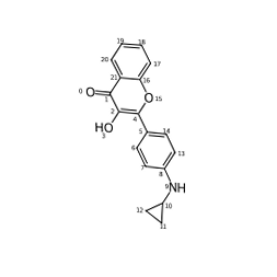 O=c1c(O)c(-c2ccc(NC3CC3)cc2)oc2ccccc12